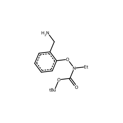 CCN(Oc1ccccc1CN)C(=O)OC(C)(C)C